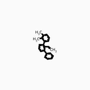 C=Cc1c(-c2ccccc2)cccc1-c1cccc(C)c1C